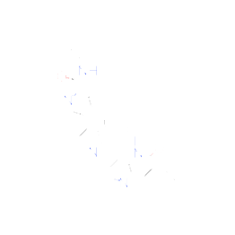 C[C@@H]1CN(Cc2cnc3cc(C4CC4)c(=O)[nH]c3c2)CC=C1c1ccc(C(=O)NC2CC2)nc1